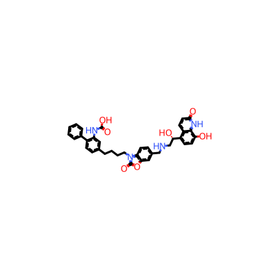 O=C(O)Nc1cc(CCCCn2c(=O)oc3cc(CNC[C@H](O)c4ccc(O)c5[nH]c(=O)ccc45)ccc32)ccc1-c1ccccc1